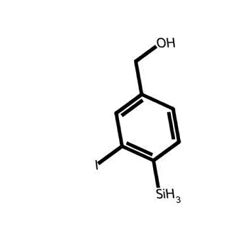 OCc1ccc([SiH3])c(I)c1